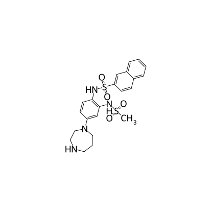 CS(=O)(=O)Nc1cc(N2CCCNCC2)ccc1NS(=O)(=O)c1ccc2ccccc2c1